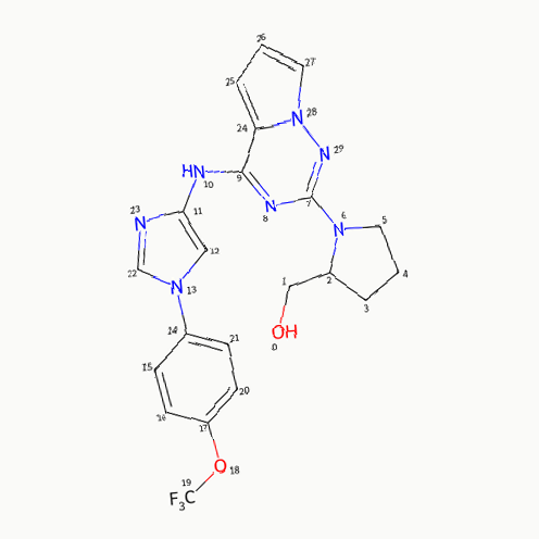 OCC1CCCN1c1nc(Nc2cn(-c3ccc(OC(F)(F)F)cc3)cn2)c2cccn2n1